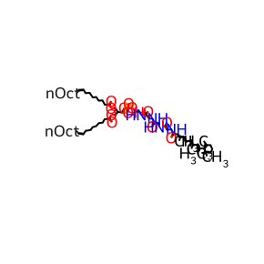 CCCCCCCC/C=C\CCCCCCCC(=O)OCC(COC(=O)CCCCCCC/C=C\CCCCCCCC)COP(=O)(O)OCCNC(=O)CNC(=O)CNC(=O)CNC(=O)/C=C(C)/C=C/C=C(C)/C=C/C1=C(C)CCCC1(C)C